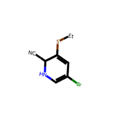 CCSC1=CC(Br)=CNC1C#N